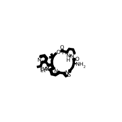 CCn1c(-c2cccnc2[C@H](C)OC)c2c3nc(ccc31)C1CSC(=N1)C[C@H](N)C(=O)N1CCC[C@H](N1)C(=O)OCC(C)(C)C2